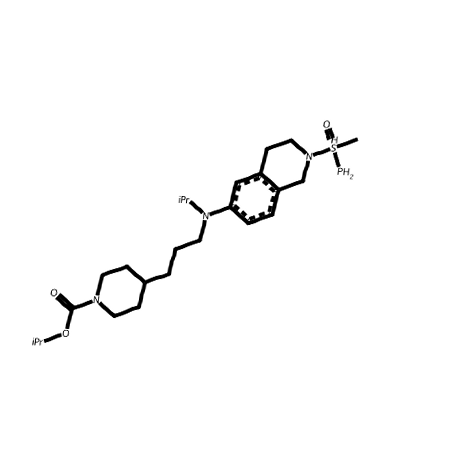 CC(C)OC(=O)N1CCC(CCCN(c2ccc3c(c2)CCN([SH](C)(=O)P)C3)C(C)C)CC1